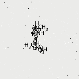 Cc1ccc(NC(=O)c2ccc(N3CCC(N(C)Cc4ccccc4NC4CCC(=O)NC4=O)CC3)cc2)cc1Nc1nccc(-c2cccnc2)n1